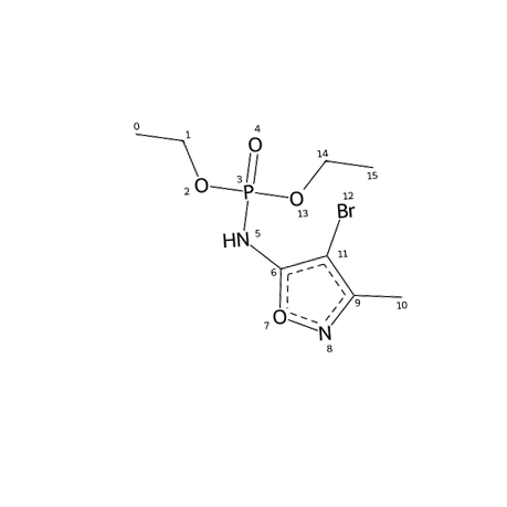 CCOP(=O)(Nc1onc(C)c1Br)OCC